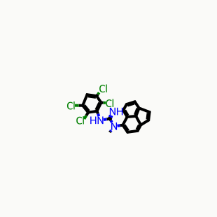 CN(C(=N)Nc1c(Cl)c(Cl)cc(Cl)c1Cl)c1ccc2c3c(cccc13)C=C2